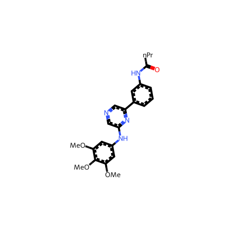 CCCC(=O)Nc1cccc(-c2cncc(Nc3cc(OC)c(OC)c(OC)c3)n2)c1